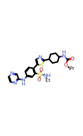 CCNS(=O)(=O)c1cc(Nc2cnccn2)ccc1-c1cnc(C2CCC(NC(=O)OC(C)C)CC2)s1